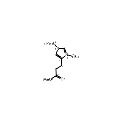 CCCCCn1cc(CCC(=O)OC)[n+](CCCC)c1